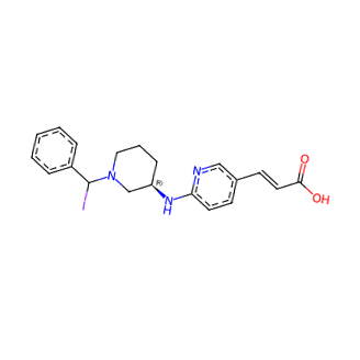 O=C(O)C=Cc1ccc(N[C@@H]2CCCN(C(I)c3ccccc3)C2)nc1